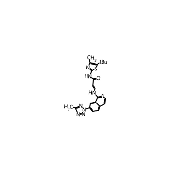 Cc1nnn(-c2ccc3ccnc(NC=CC(=O)Nc4nc(C)c(C(C)(C)C)s4)c3c2)n1